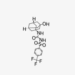 O=C(NC12C[C@@H]3C[C@@H](CC(O)(C3)C1)C2)NS(=O)(=O)c1ccc(C(F)(F)F)cc1